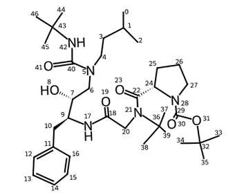 CC(C)CCN(C[C@@H](O)[C@H](Cc1ccccc1)NC(=O)CN(C(=O)[C@@H]1CCCN1C(=O)OC(C)(C)C)C(C)(C)C)C(=O)NC(C)(C)C